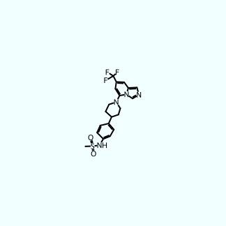 CS(=O)(=O)Nc1ccc(C2CCN(c3cc(C(F)(F)F)cc4cncn34)CC2)cc1